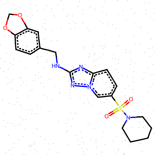 O=S(=O)(c1ccc2nc(NCc3ccc4c(c3)OCO4)nn2c1)N1CCCCC1